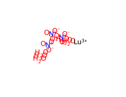 O.O.O.O.O.O.O=[N+]([O-])[O-].O=[N+]([O-])[O-].O=[N+]([O-])[O-].[Lu+3]